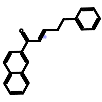 O=C(/C=C/CCc1ccccc1)c1ccc2ccccc2c1